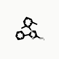 Cc1cccc(C)c1-n1cc(P)nc1-c1ccccc1